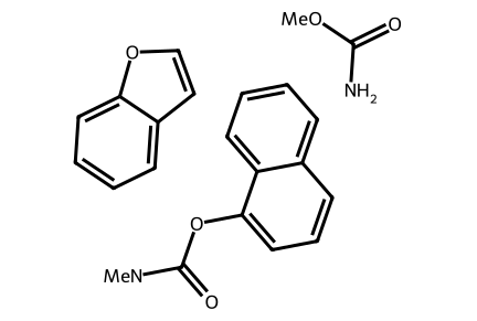 CNC(=O)Oc1cccc2ccccc12.COC(N)=O.c1ccc2occc2c1